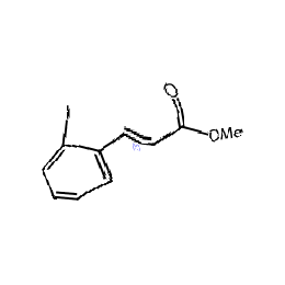 COC(=O)/C=C/c1ccccc1I